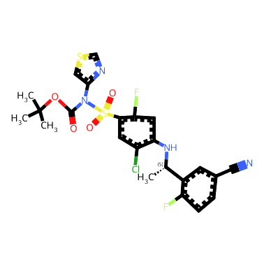 C[C@H](Nc1cc(F)c(S(=O)(=O)N(C(=O)OC(C)(C)C)c2cscn2)cc1Cl)c1cc(C#N)ccc1F